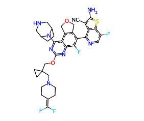 N#Cc1c(N)sc2c(F)cnc(-c3c4c(c5c(N6C7CCC6CNC7)nc(OCC6(CN7CCC(=C(F)F)CC7)CC6)nc5c3F)COC4)c12